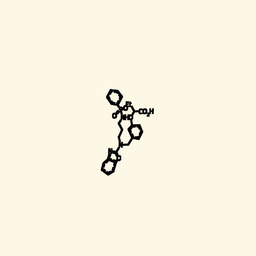 CCC(Oc1cccc(CN(CCCNS(=O)(=O)c2ccccc2)c2nc3ccccc3o2)c1)C(=O)O